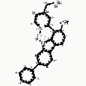 CCCc1ccc2c(oc3cc(-c4ccccc4)ccc32)c1-c1cc(CC(C)(C)C)cc[n+]1C